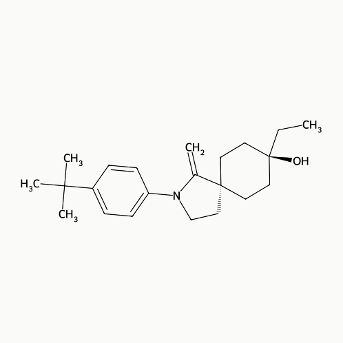 C=C1N(c2ccc(C(C)(C)C)cc2)CC[C@]12CC[C@@](O)(CC)CC2